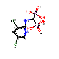 O=P(O)(O)C(Nc1ncc(Cl)cc1Cl)P(=O)(O)O